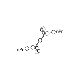 CCCC1CCC(C2CCC(C#Cc3ccc(C#CC4(OC5CCCCO5)CCC(C5CCC(CCC)CC5)CC4)cc3)(OC3CCCCO3)CC2)CC1